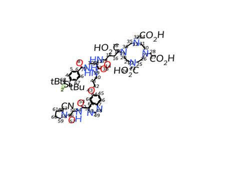 CC(C)(C)[Si](F)(c1ccc(C(=O)NC[C@@H](NC(=O)CC[C@H](C(=O)O)N2CCN(CC(=O)O)CCN(CC(=O)O)CCN(CC(=O)O)CC2)C(=O)NCCCOc2ccc3ncnc(C(=O)NCC(=O)N4CCC[C@H]4C#N)c3c2)cc1)C(C)(C)C